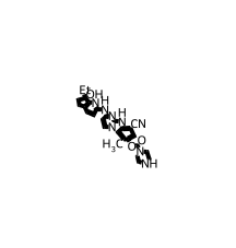 CCC1(O)CCc2ccc(Nc3ccnc(Nc4cc(C)c(OC(=O)N5CCNCC5)cc4C#N)n3)nc21